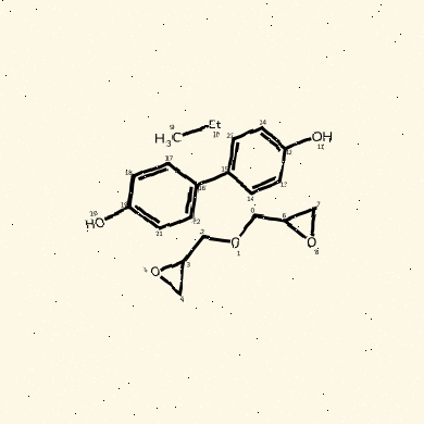 C(OCC1CO1)C1CO1.CCC.Oc1ccc(-c2ccc(O)cc2)cc1